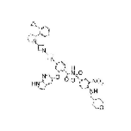 O=C(NS(=O)(=O)c1ccc(NCC2CCOCC2)c([N+](=O)[O-])c1)c1ccc(N2CC(N3CC(N4CCCC4c4ccccc4C4CC4)C3)C2)cc1Oc1cnc2[nH]ccc2c1